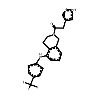 O=C(Cc1cn[nH]c1)N1CCc2c(cccc2Nc2ccc(C(F)(F)F)cc2)C1